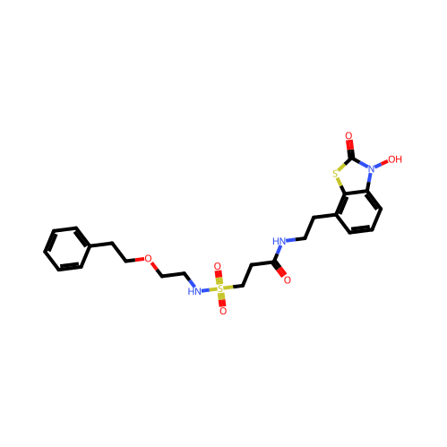 O=C(CCS(=O)(=O)NCCOCCc1ccccc1)NCCc1cccc2c1sc(=O)n2O